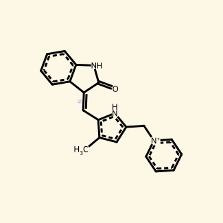 Cc1cc(C[n+]2ccccc2)[nH]c1/C=C1\C(=O)Nc2ccccc21